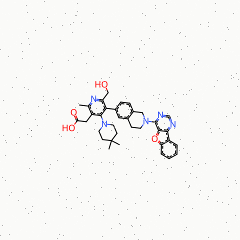 Cc1nc(CO)c(-c2ccc3c(c2)CCN(c2ncnc4c2oc2ccccc24)C3)c(N2CCC(C)(C)CC2)c1CC(=O)O